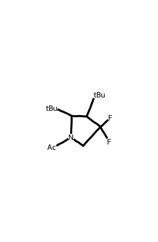 CC(=O)N1CC(F)(F)C(C(C)(C)C)C1C(C)(C)C